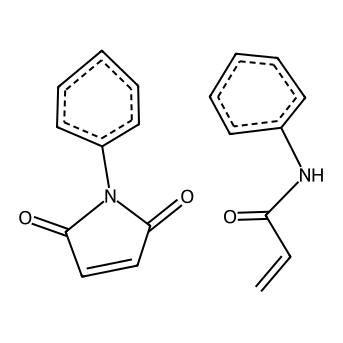 C=CC(=O)Nc1ccccc1.O=C1C=CC(=O)N1c1ccccc1